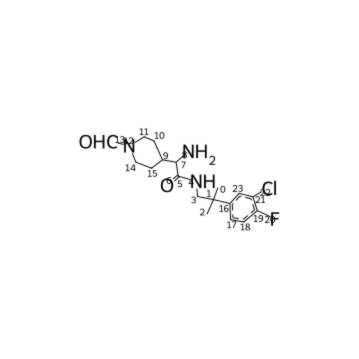 CC(C)(CNC(=O)C(N)C1CCN(C=O)CC1)c1ccc(F)c(Cl)c1